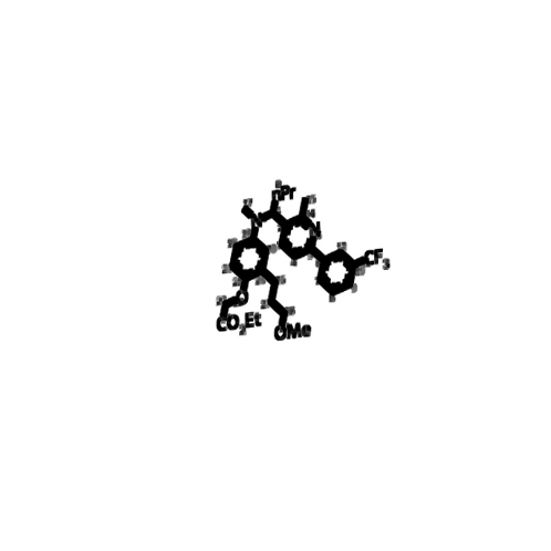 CCCC(c1ccc(-c2cccc(C(F)(F)F)c2)nc1C)N(C)c1ccc(OCC(=O)OCC)c(CCCOC)c1